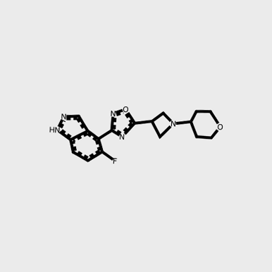 Fc1ccc2[nH]ncc2c1-c1noc(C2CN(C3CCOCC3)C2)n1